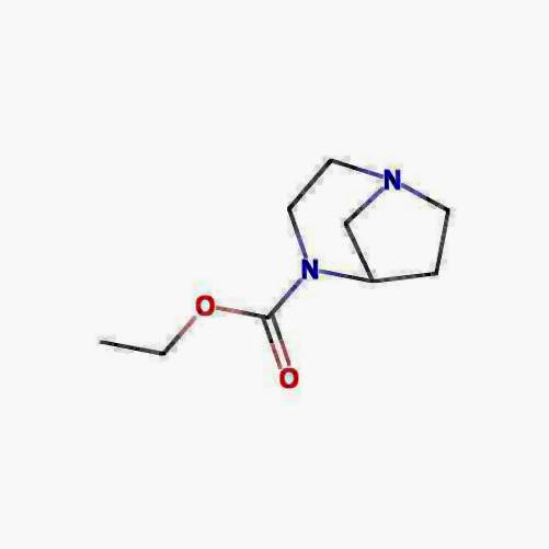 CCOC(=O)N1CCN2CCC1C2